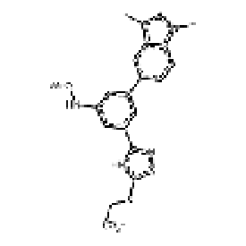 CONc1cc(-c2ccc3c(c2)c(C)cn3C)cc(-c2nnc(SCC(=O)O)[nH]2)c1